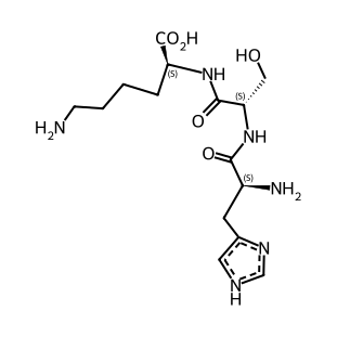 NCCCC[C@H](NC(=O)[C@H](CO)NC(=O)[C@@H](N)Cc1c[nH]cn1)C(=O)O